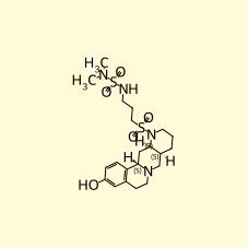 CN(C)S(=O)(=O)NCCCS(=O)(=O)N1CCC[C@H]2CN3CCc4cc(O)ccc4[C@@H]3C[C@H]21